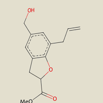 C=CCc1cc(CO)cc2c1OC(C(=O)OC)C2